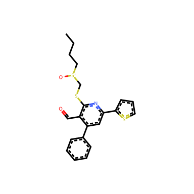 CCCC[S+]([O-])CSc1nc(-c2cccs2)cc(-c2ccccc2)c1C=O